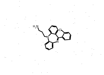 NCCCN1c2ccccc2N=C(c2ccccc2Cl)c2ccccc21